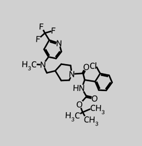 CN(CC1CCN(C(=O)C(NC(=O)OC(C)(C)C)c2ccccc2Cl)CC1)c1ccnc(C(F)(F)F)c1